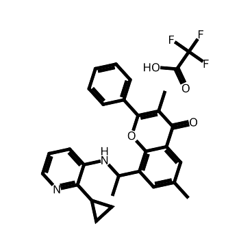 Cc1cc(C(C)Nc2cccnc2C2CC2)c2oc(-c3ccccc3)c(C)c(=O)c2c1.O=C(O)C(F)(F)F